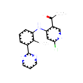 CNC(=O)c1cnc(Cl)cc1Nc1cccc(-c2ncccn2)c1OC